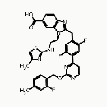 Cc1ccc(COc2nccc(-c3cc(F)c(Cc4nc5ccc(C(=O)O)cc5n4CCNc4nc(C)cs4)cc3F)n2)c(F)c1